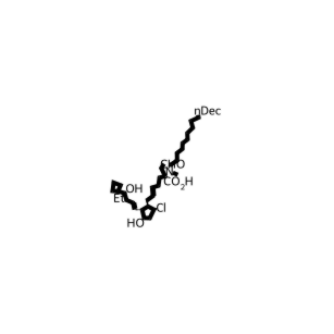 CCCCCCCCCCCCCCCCCCCCN(C)C(CC=O)(CCC=CC[C@@H]1[C@@H](C=CC[C@H](O)C2(CC)CCC2)[C@H](O)C[C@H]1Cl)C(=O)O